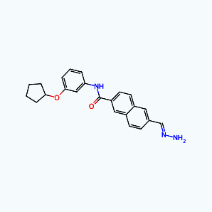 NN=Cc1ccc2cc(C(=O)Nc3cccc(OC4CCCC4)c3)ccc2c1